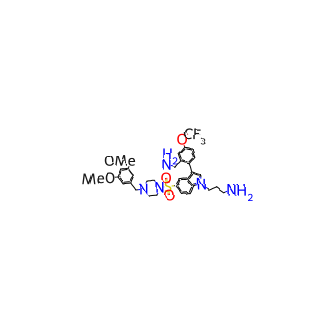 COc1cc(CN2CCN(S(=O)(=O)c3ccc4c(c3)c(-c3ccc(OC(F)(F)F)cc3CN)cn4CCCN)CC2)cc(OC)c1